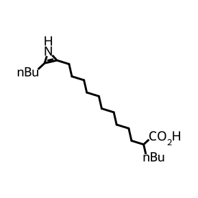 CCCCC1=C(CCCCCCCCCCC(CCCC)C(=O)O)N1